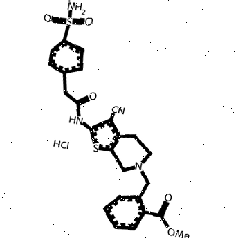 COC(=O)c1ccccc1CN1CCc2c(sc(NC(=O)Cc3ccc(S(N)(=O)=O)cc3)c2C#N)C1.Cl